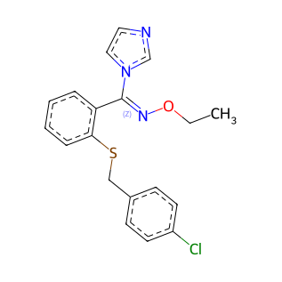 CCO/N=C(/c1ccccc1SCc1ccc(Cl)cc1)n1ccnc1